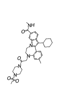 CNC(=O)c1ccc2c(C3CCCCC3)c3n(c2c1)CCN(CC(=O)N1CCN(S(C)(=O)=O)CC1)c1cc(C)ccc1-3